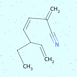 C=CC(/C=C\C(=C)C#N)CC